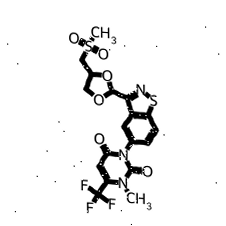 Cn1c(C(F)(F)F)cc(=O)n(-c2ccc3snc(C4OCC(CS(C)(=O)=O)O4)c3c2)c1=O